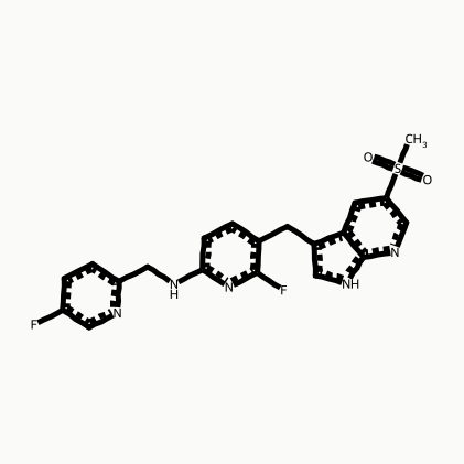 CS(=O)(=O)c1cnc2[nH]cc(Cc3ccc(NCc4ccc(F)cn4)nc3F)c2c1